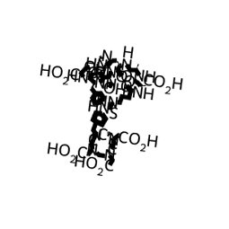 C[C@H](NC(=O)[C@H](CC(=O)O)NC(=O)CCCNC(=S)Nc1ccc(CN2CCN(CC(=O)O)CCN(CC(=O)O)CCN(CC(=O)O)CC2)cc1)C(=O)N[C@@H](Cc1c[nH]cn1)C(=O)N[C@@H](CO)C(=O)N[C@@H](Cc1ccccc1)C(=O)N[C@@H](CO)C(=O)O